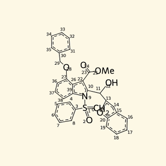 C=S(=O)(c1ccccc1)n1c(C(O)c2cc3ccccc3o2)c(C(=O)OC)c2c(OCc3ccccc3)cccc21